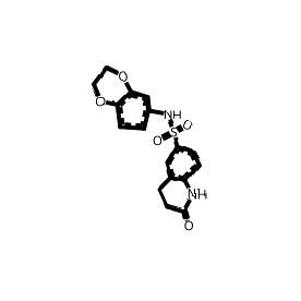 O=C1CCc2cc(S(=O)(=O)Nc3ccc4c(c3)OCCO4)ccc2N1